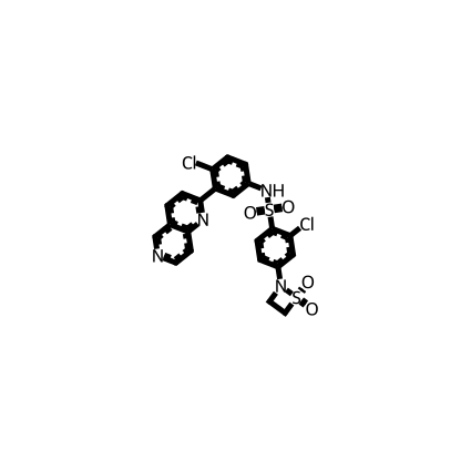 O=S(=O)(Nc1ccc(Cl)c(-c2ccc3cnccc3n2)c1)c1ccc(N2CCS2(=O)=O)cc1Cl